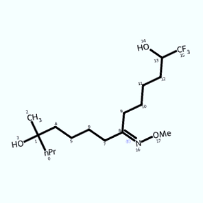 CCCC(C)(O)CCCC/C(CCCCC(O)C(F)(F)F)=N/OC